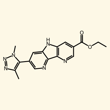 CCOC(=O)c1cnc2c(c1)[nH]c1cc(-c3c(C)nnn3C)cnc12